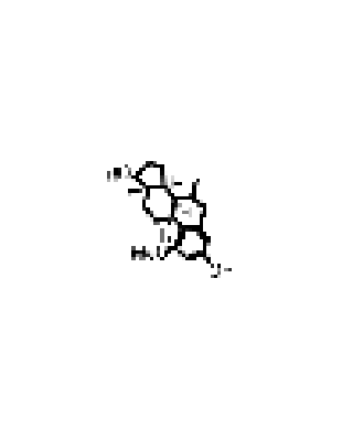 COc1cc(O)cc2c1[C@H]1CC[C@]3(C)[C@@H](O)CC[C@H]3[C@@H]1C(C)C2